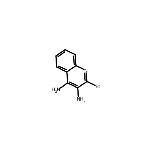 CCc1nc2ccccc2c(N)c1N